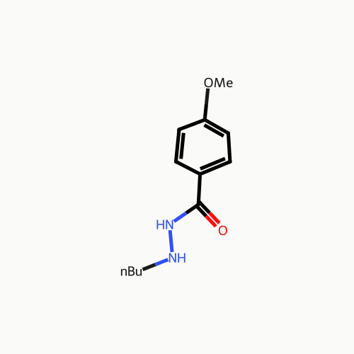 CCCCNNC(=O)c1ccc(OC)cc1